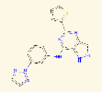 c1cc(Nc2nc(-c3cccs3)nc3cn[nH]c23)cc(-n2nccn2)c1